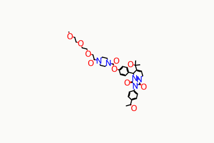 COCCOCCOCC(=O)N1CCN(C(=O)Oc2ccc3c(c2)OC(C)(C)C2=CCn4c(=O)n(-c5ccc(C(C)=O)cc5)c(=O)n4C23)CC1